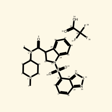 CN1CCC(N(C)C(=O)C2CN(S(=O)(=O)c3cccc4nsnc34)c3ccccc32)CC1.O=C(O)C(F)(F)F